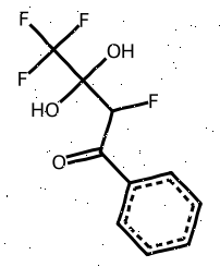 O=C(c1ccccc1)C(F)C(O)(O)C(F)(F)F